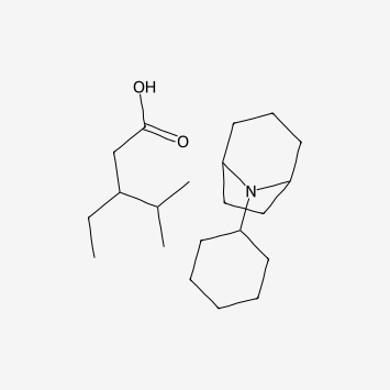 C1CCC(N2C3CCCC2CC3)CC1.CCC(CC(=O)O)C(C)C